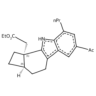 CCCc1cc(C(C)=O)cc2c3c([nH]c12)[C@]1(CC(=O)OCC)CC[C@@H]1CC3